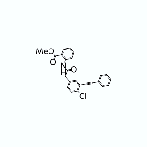 COC(=O)c1ccccc1NC(=O)Cc1ccc(Cl)c(C#Cc2ccccc2)c1